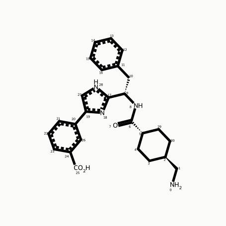 NC[C@H]1CC[C@H](C(=O)N[C@@H](Cc2ccccc2)c2nc(-c3cccc(C(=O)O)c3)c[nH]2)CC1